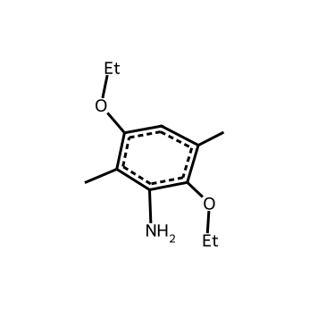 CCOc1cc(C)c(OCC)c(N)c1C